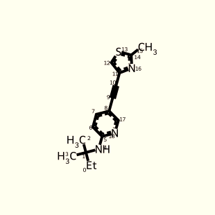 CCC(C)(C)Nc1ccc(C#Cc2csc(C)n2)cn1